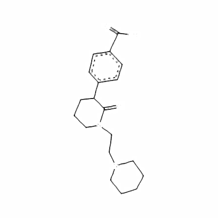 O=C(O)c1ccc(C2CCCN(CCN3CCCCC3)C2=O)cc1